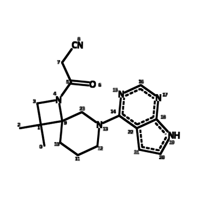 CC1(C)CN(C(=O)CC#N)C12CCCN(c1ncnc3[nH]ccc13)C2